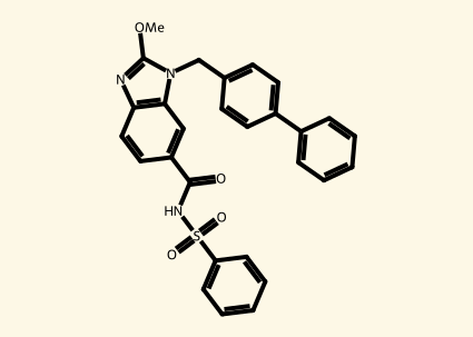 COc1nc2ccc(C(=O)NS(=O)(=O)c3ccccc3)cc2n1Cc1ccc(-c2ccccc2)cc1